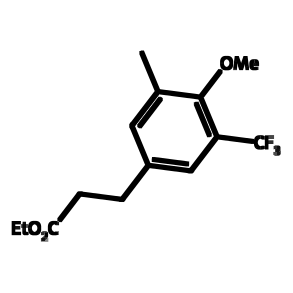 CCOC(=O)CCc1cc(C)c(OC)c(C(F)(F)F)c1